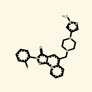 Cn1cc(N2CCN(Cc3cc4c(=O)n(-c5ccccc5F)nc-4n4ccccc34)CC2)cn1